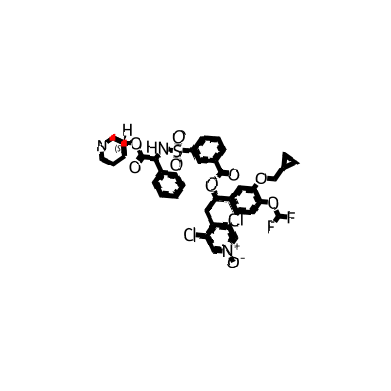 O=C(OC(Cc1c(Cl)c[n+]([O-])cc1Cl)c1ccc(OC(F)F)c(OCC2CC2)c1)c1cccc(S(=O)(=O)NC(C(=O)O[C@@H]2CN3CCC2CC3)c2ccccc2)c1